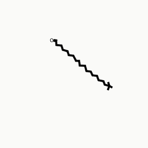 CC(C)(C)CCCCCCCCCCCCCCCCC[C]=O